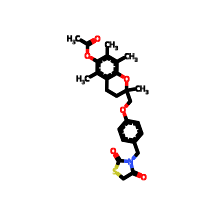 CC(=O)Oc1c(C)c(C)c2c(c1C)CCC(C)(COc1ccc(CN3C(=O)CSC3=O)cc1)O2